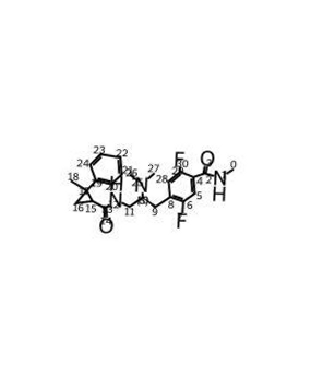 CNC(=O)c1cc(F)c(C[C@@H](CNC(=O)C2CC2(C)c2ccccc2)N(C)C)cc1F